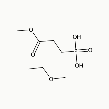 CCOC.COC(=O)CCP(=O)(O)O